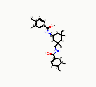 CC1=CC=C(C(=O)NCC2(C)CC(NC(=O)c3ccc(C)c(C)c3)CC(C)(C)C2)CC1C